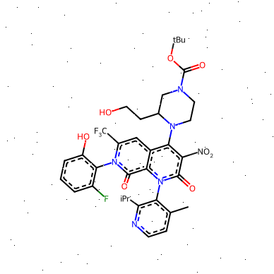 Cc1ccnc(C(C)C)c1-n1c(=O)c([N+](=O)[O-])c(N2CCN(C(=O)OC(C)(C)C)CC2CCO)c2cc(C(F)(F)F)n(-c3c(O)cccc3F)c(=O)c21